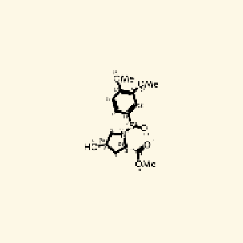 COC(=O)[C@@H]1C[C@@H](O)CN1[S+]([O-])c1ccc(OC)c(OC)c1